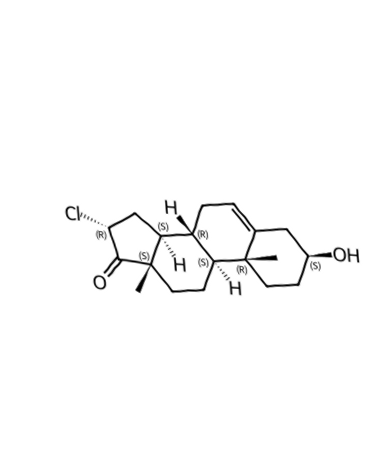 C[C@]12CC[C@H](O)CC1=CC[C@@H]1[C@@H]2CC[C@]2(C)C(=O)[C@H](Cl)C[C@@H]12